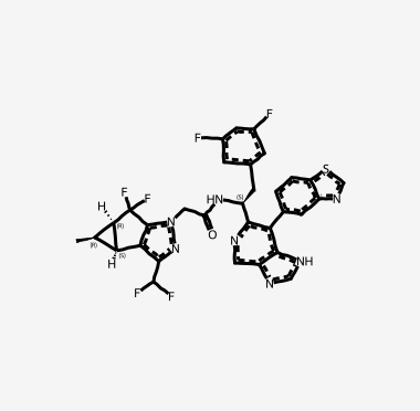 C[C@@H]1[C@@H]2c3c(C(F)F)nn(CC(=O)N[C@@H](Cc4cc(F)cc(F)c4)c4ncc5nc[nH]c5c4-c4ccc5scnc5c4)c3C(F)(F)[C@H]12